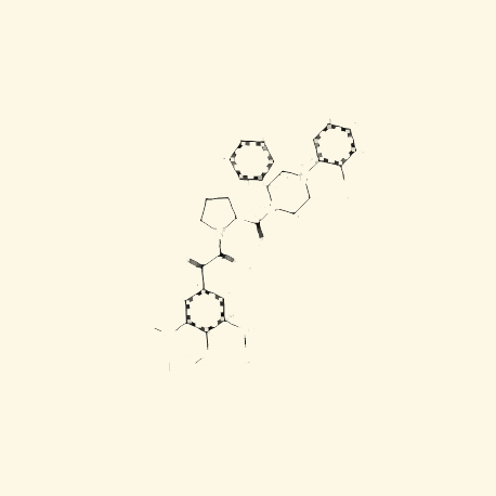 COc1cc(C(=O)C(=O)N2CC[C@H](c3ccccc3)[C@H]2C(=O)N2CCN(c3ccccc3C)CC2)cc(OC)c1OC